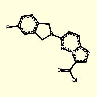 O=C(O)c1cnc2ccc(N3Cc4ccc(F)cc4C3)nn12